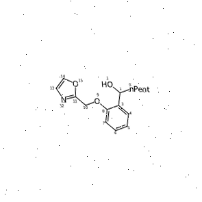 CCCCCC(O)c1ccccc1OCc1ncco1